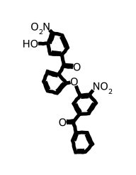 O=C(c1ccccc1)c1ccc([N+](=O)[O-])c(Oc2ccccc2C(=O)c2ccc([N+](=O)[O-])c(O)c2)c1